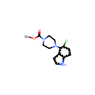 CC(C)(C)OC(=O)N1CCN(c2c(Cl)ccc3[nH]ccc23)CC1